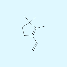 C=CC1=C(C)C(C)(C)CC1